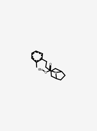 Cc1ccccc1CCC1CC2CCC(C1)N2C(=O)OC(C)(C)C